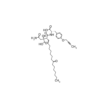 CC#CCOc1ccc(C[C@H](NC(=O)[C@@H](C=CCCCCCCC(=O)CCCCCCC)[C@@](O)(CC(N)=O)C(=O)O)C(=O)O)cc1